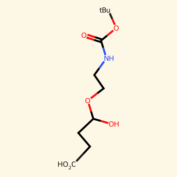 CC(C)(C)OC(=O)NCCOC(O)CCC(=O)O